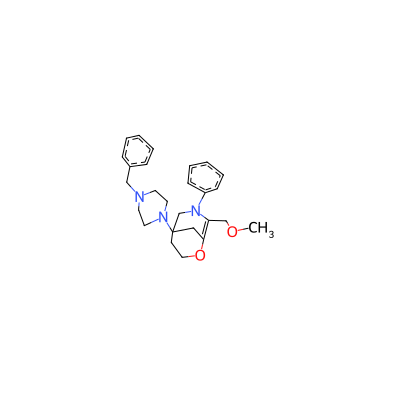 COCC1=C2CC(N3CCN(Cc4ccccc4)CC3)(CCO2)CN1c1ccccc1